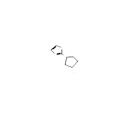 N[C@H]1CC[C@H](c2ncc[nH]2)C1